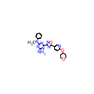 CN(c1ccccc1)c1nc(N)nc(-c2noc(-c3ccc(OC4CCOCC4)nc3)n2)n1